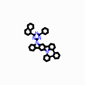 c1ccc(-c2nc(-c3cccc4ccccc34)nc(-n3c4ccccc4c4cc5c(cc43)c3cccc4c3n5-c3ccccc3-c3ccccc3-4)n2)cc1